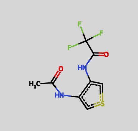 CC(=O)Nc1cscc1NC(=O)C(F)(F)F